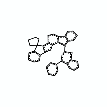 c1ccc(-c2nc(-n3c4ccccc4c4ccc5c6c(sc5c43)-c3ccccc3C63CCCC3)nc3ccccc23)cc1